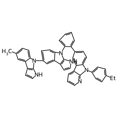 CCc1ccc(-n2c3ccc(-c4ccccc4-n4c5ccc(-n6c7ccc(C)cc7c7cc[nH]c76)cc5c5cc[nH]c54)cc3c3cccnc32)cc1